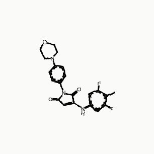 Cc1c(F)cc(NC2=CC(=O)N(c3ccc(N4CCOCC4)cc3)C2=O)cc1F